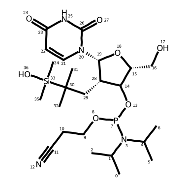 CC(C)N(C(C)C)P(OCCC#N)OC1[C@@H](CO)O[C@@H](n2ccc(=O)[nH]c2=O)[C@H]1CC(C)(C)[Si](C)(C)O